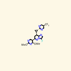 COc1ncc(-c2cc([C@H]3C[C@@H]3c3ncc(C(F)(F)F)cn3)c3ncc(F)n3n2)c(OC)n1